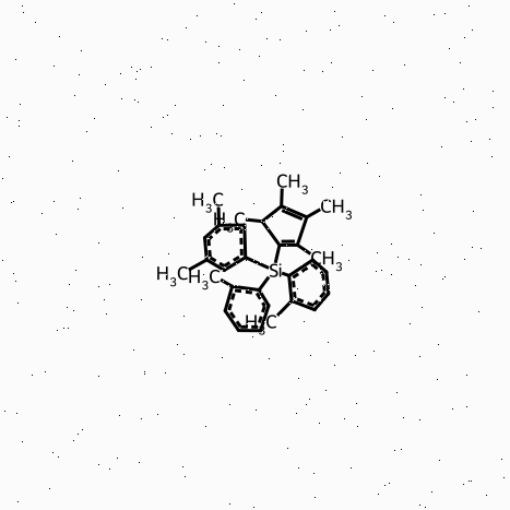 CC1=C(C)C(C)C([Si](c2cc(C)cc(C)c2)(c2ccccc2C)c2ccccc2C)=C1C